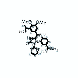 COc1cc(C(Nc2ccc(C(=N)N)cc2)c2nn(-c3ncccn3)c(=O)[nH]2)cc(C(C)O)c1OC